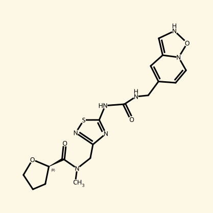 CN(Cc1nsc(NC(=O)NCC2=CC3=CNON3C=C2)n1)C(=O)[C@H]1CCCO1